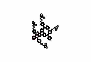 CCC1(COCc2ccc(N(c3ccccc3)c3ccc(-c4ccc(N(c5ccccc5)c5ccc(COCC6(CC)COC6)cc5)cc4-c4cc(N(c5ccccc5)c5ccc(COCC6(CC)COC6)cc5)ccc4-c4ccc(N(c5ccccc5)c5ccc(COCC6(CC)COC6)cc5)cc4C)c(C)c3)cc2)COC1